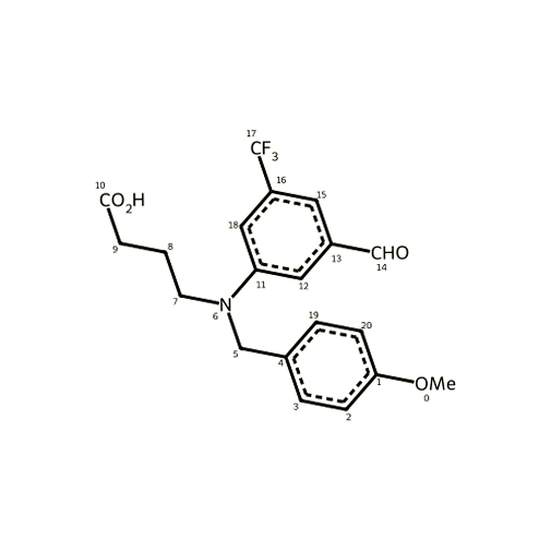 COc1ccc(CN(CCCC(=O)O)c2cc(C=O)cc(C(F)(F)F)c2)cc1